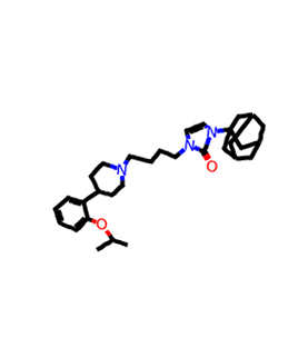 CC(C)Oc1ccccc1C1CCN(CCCCn2ccn(C34CC5CC(CC(C5)C3)C4)c2=O)CC1